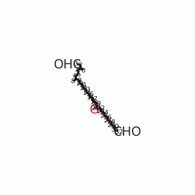 CC(CC=O)CCCC(C)CC=CCCCCCCCCC(=O)CCCCCCCCCCC=O